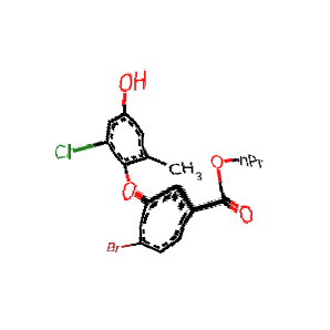 CCCOC(=O)c1ccc(Br)c(Oc2c(C)cc(O)cc2Cl)c1